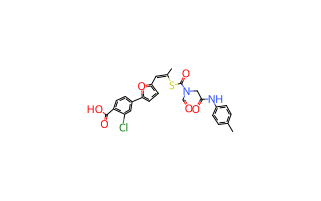 C/C(=C/c1ccc(-c2ccc(C(=O)O)c(Cl)c2)o1)SC(=O)N(C=O)CC(=O)Nc1ccc(C)cc1